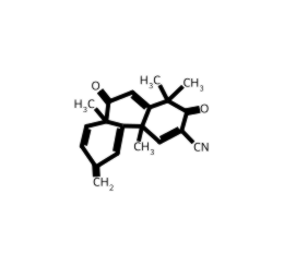 C=C1C=CC2(C)C(=O)C=C3C(C)(C)C(=O)C(C#N)=CC3(C)C2=C1